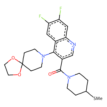 CSC1CCN(C(=O)c2cnc3cc(F)c(F)cc3c2N2CCC3(CC2)OCCO3)CC1